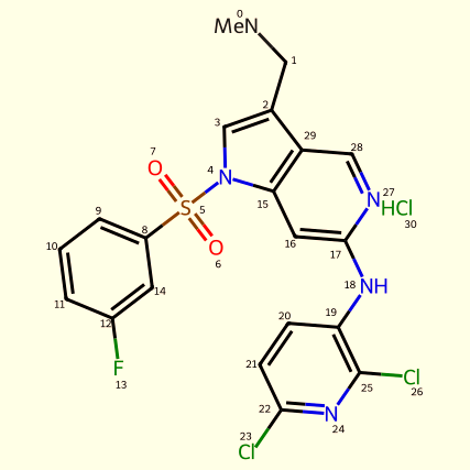 CNCc1cn(S(=O)(=O)c2cccc(F)c2)c2cc(Nc3ccc(Cl)nc3Cl)ncc12.Cl